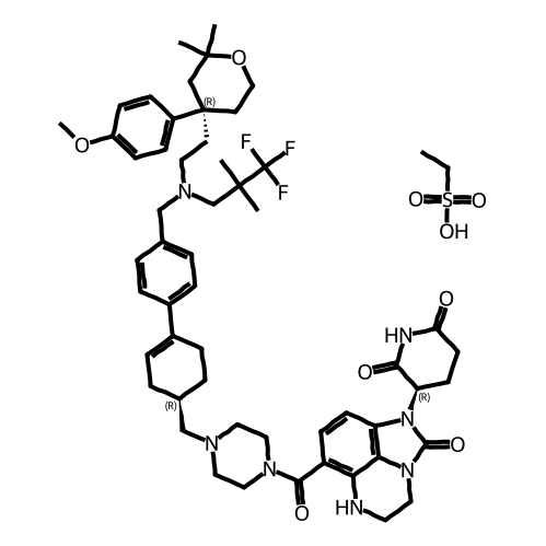 CCS(=O)(=O)O.COc1ccc([C@]2(CCN(Cc3ccc(C4=CC[C@H](CN5CCN(C(=O)c6ccc7c8c6NCCn8c(=O)n7[C@@H]6CCC(=O)NC6=O)CC5)CC4)cc3)CC(C)(C)C(F)(F)F)CCOC(C)(C)C2)cc1